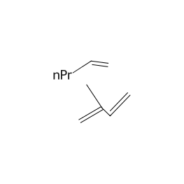 C=CC(=C)C.C=CCCC